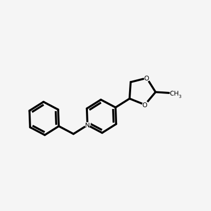 CC1OCC(c2cc[n+](Cc3ccccc3)cc2)O1